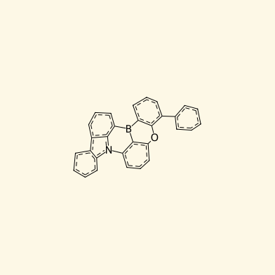 c1ccc(-c2cccc3c2Oc2cccc4c2B3c2cccc3c5ccccc5n-4c23)cc1